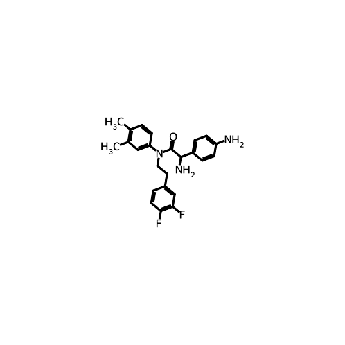 Cc1ccc(N(CCc2ccc(F)c(F)c2)C(=O)C(N)c2ccc(N)cc2)cc1C